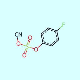 N#COS(=O)(=O)Oc1ccc(F)cc1